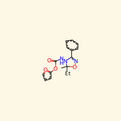 CCC1(C)ON=C(c2ccccc2)N1NC(=O)Oc1ccco1